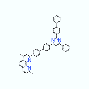 Cc1ccc2ccc3c(C)cc(-c4ccc(-c5ccc(-c6cc(-c7ccccc7)nc(-c7ccc(-c8ccccc8)cc7)n6)cc5)cc4)nc3c2n1